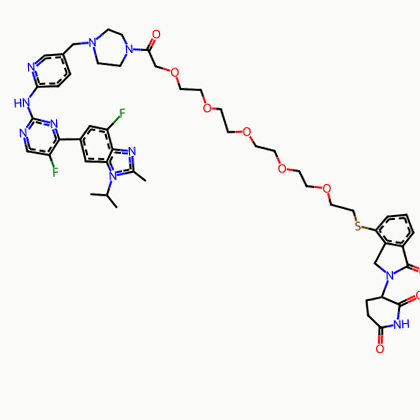 Cc1nc2c(F)cc(-c3nc(Nc4ccc(CN5CCN(C(=O)COCCOCCOCCOCCOCCSc6cccc7c6CN(C6CCC(=O)NC6=O)C7=O)CC5)cn4)ncc3F)cc2n1C(C)C